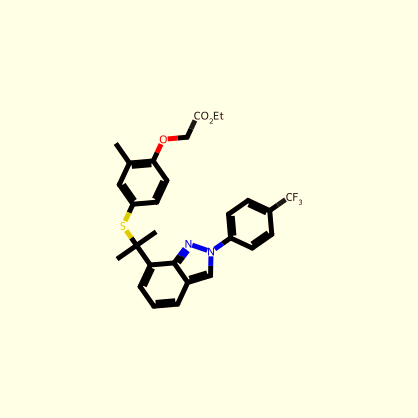 CCOC(=O)COc1ccc(SC(C)(C)c2cccc3cn(-c4ccc(C(F)(F)F)cc4)nc23)cc1C